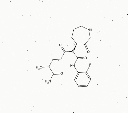 CC(C[CH]C(=O)N(C(=O)Nc1ccccc1F)[C@H]1CCCNCC1=O)C(N)=O